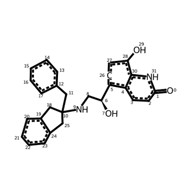 O=c1ccc2c([C@@H](O)CNC3(Cc4ccccc4)Cc4ccccc4C3)ccc(O)c2[nH]1